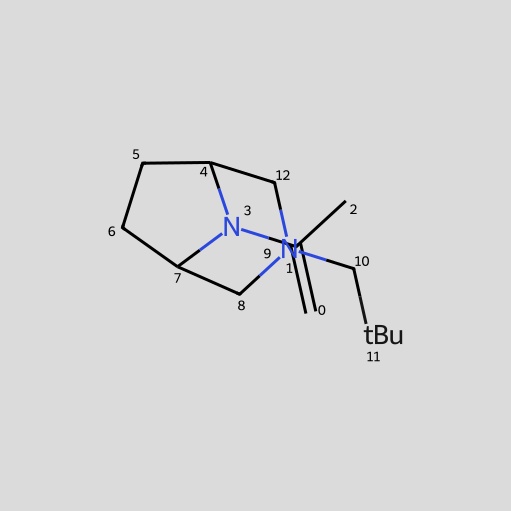 C=C(C)N1C2CCC1CN(CC(C)(C)C)C2